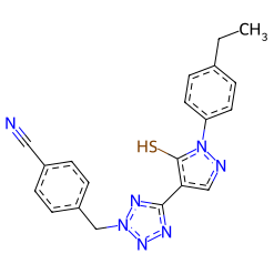 CCc1ccc(-n2ncc(-c3nnn(Cc4ccc(C#N)cc4)n3)c2S)cc1